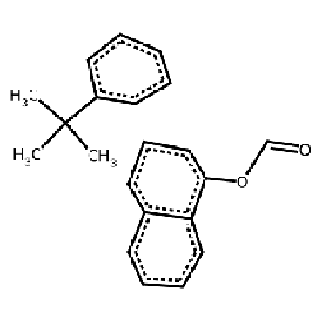 CC(C)(C)c1ccccc1.O=COc1cccc2ccccc12